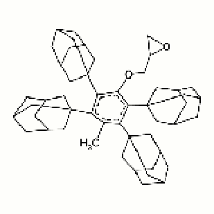 Cc1c(C23CC4CC(CC(C4)C2)C3)c(C23CC4CC(CC(C4)C2)C3)c(OCC2CO2)c(C23CC4CC(CC(C4)C2)C3)c1C12CC3CC(CC(C3)C1)C2